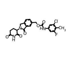 Cc1c(F)cc(NC(=O)OCc2ccc3c(c2)C(=O)N(C2CCC(=O)NC2=O)C3)cc1Cl